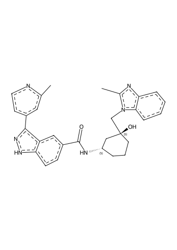 Cc1cc(-c2n[nH]c3ccc(C(=O)N[C@H]4CCC[C@@](O)(Cn5c(C)nc6ccccc65)C4)cc23)ccn1